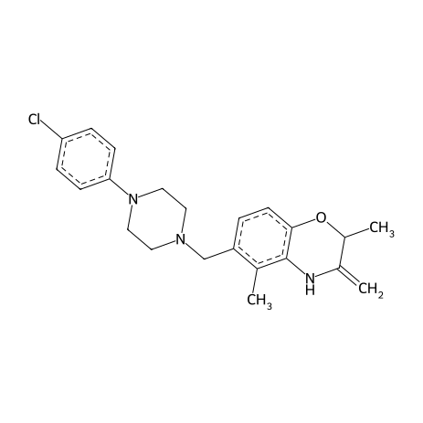 C=C1Nc2c(ccc(CN3CCN(c4ccc(Cl)cc4)CC3)c2C)OC1C